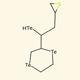 [TeH]C(CC1CS1)C1C[Te]CC[Te]1